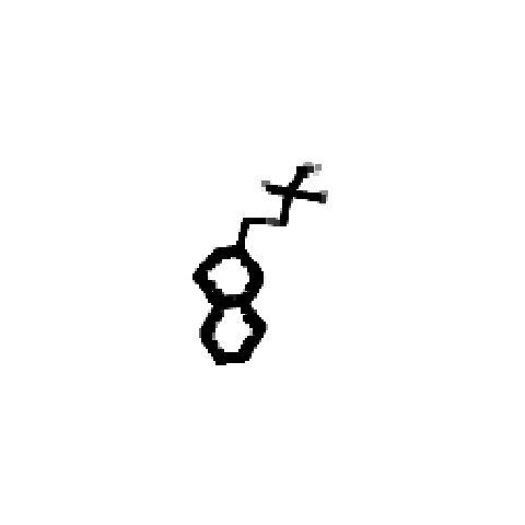 [CH2]CCC(F)(F)CCc1ccc2ccccc2c1